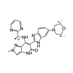 C[C@@H]1CN(c2ccc3nc(-c4c(N[C@@H](C)c5ncccn5)c5nn(C)cc5[nH]c4=O)[nH]c3c2)C[C@H](C)O1